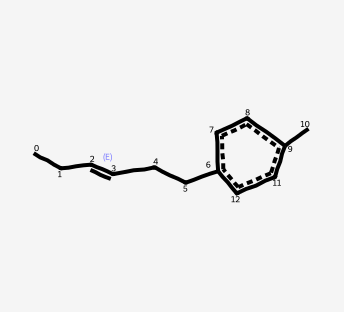 CC/C=C/CCc1ccc(C)cc1